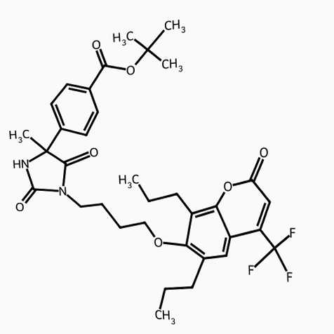 CCCc1cc2c(C(F)(F)F)cc(=O)oc2c(CCC)c1OCCCCN1C(=O)NC(C)(c2ccc(C(=O)OC(C)(C)C)cc2)C1=O